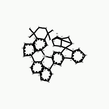 CC1(C)CCC(C)(C)c2cc(N(c3ccccc3-c3ccccc3)c3cc4c(cc3-c3ccccc3)-c3ccccc3C43C4CC5CC(C4)C3C5)ccc21